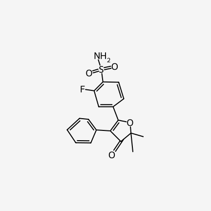 CC1(C)OC(c2ccc(S(N)(=O)=O)c(F)c2)=C(c2ccccc2)C1=O